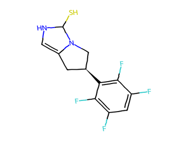 Fc1cc(F)c(F)c([C@H]2CC3=CNC(S)N3C2)c1F